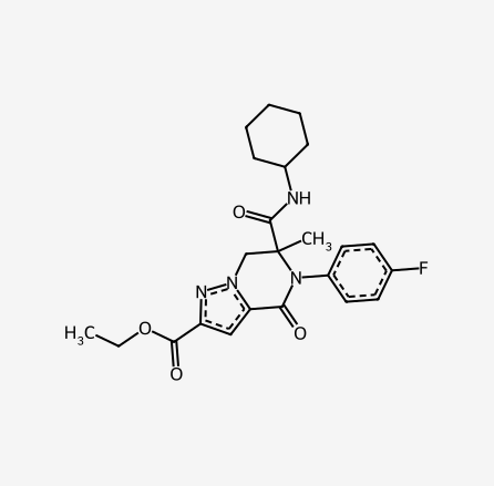 CCOC(=O)c1cc2n(n1)CC(C)(C(=O)NC1CCCCC1)N(c1ccc(F)cc1)C2=O